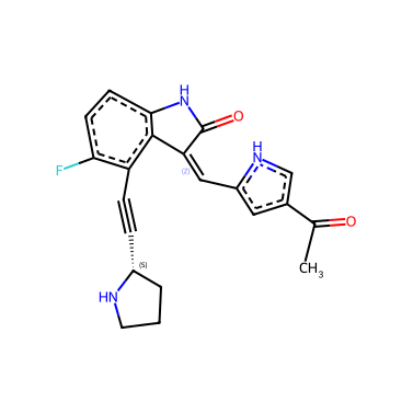 CC(=O)c1c[nH]c(/C=C2\C(=O)Nc3ccc(F)c(C#C[C@@H]4CCCN4)c32)c1